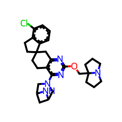 Clc1cccc2c1CCC21CCc2c(nc(OCC34CCCN3CCC4)nc2N2CC3CC(C2)N3)C1